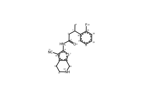 CC(CC(=O)Nc1sc2c(c1C#N)CCNC2)c1ccccc1F